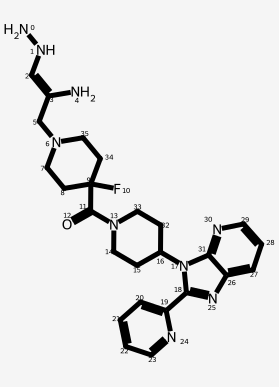 NN/C=C(\N)CN1CCC(F)(C(=O)N2CCC(n3c(-c4ccccn4)nc4cccnc43)CC2)CC1